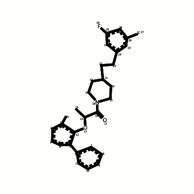 Cc1cccc(-c2ccccc2)c1OC(C)C(=O)N1CCC(CCc2cc(F)cc(F)c2)CC1